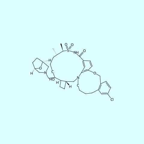 C[C@@H]1[C@@H](C)CCC[C@@](O)(CN2C[C@H]3CC[C@@H](C2)O3)[C@@H]2CC[C@H]2CN2CCCCc3cc(Cl)ccc3COc3ccc(cc32)C(=O)NS1(=O)=O